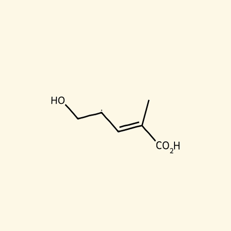 CC(=C[CH]CO)C(=O)O